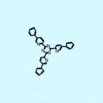 c1ccc(-c2ccc(-c3nc(-c4ccc(-c5ccccc5)cn4)nc(-c4ccc(-c5ccccc5)cn4)n3)nc2)cc1